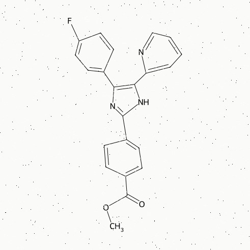 COC(=O)c1ccc(-c2nc(-c3ccc(F)cc3)c(-c3ccccn3)[nH]2)cc1